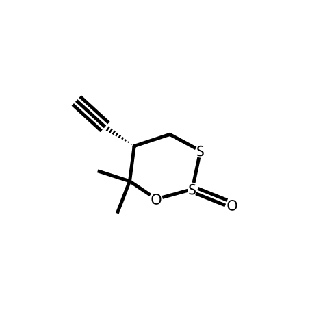 C#C[C@@H]1CSS(=O)OC1(C)C